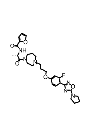 C[C@H](NC(=O)c1ccco1)C(=O)N1CCCN(CCCOc2ccc(-c3noc(N4CCCC4)n3)c(F)c2)CC1